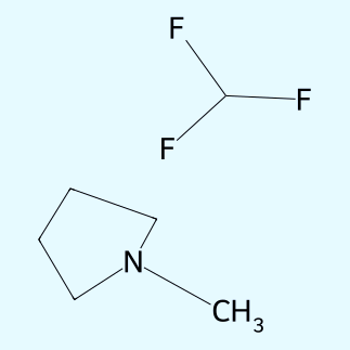 CN1CCCC1.FC(F)F